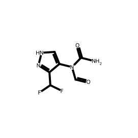 NC(=O)N(C=O)c1c[nH]nc1C(F)F